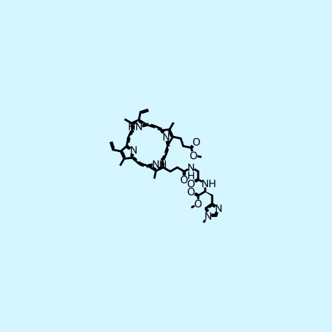 C=CC1=C(C)c2cc3[nH]c(cc4nc(cc5[nH]c(cc1n2)c(C)c5C=C)C(C)=C4CCC(=O)OC)c(CCC(=O)NCC(=O)N[C@@H](Cc1cn(C)cn1)C(=O)OC)c3C